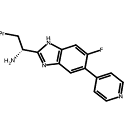 CC(C)C[C@@H](N)c1nc2cc(-c3ccncc3)c(F)cc2[nH]1